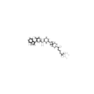 CN(C)C/C=C/C(=O)N1CCC2(CC1)CN([C@H]1CCC[C@@H](Nc3ncc(Cl)c(-c4c[nH]c5ccccc45)n3)C1)C2